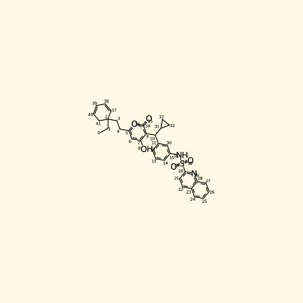 CCC1(CCc2cc(O)c(C(c3cccc(NS(=O)(=O)c4ccc5ccccc5n4)c3)C3CC3)c(=O)o2)C=CC=CC1